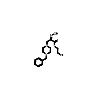 O=C(SCCO)/C(CN1CCN(Cc2ccccc2)CC1)=N\O